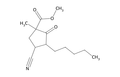 CCCCCC1C(=O)C(C)(C(=O)OC)CC1C#N